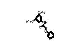 COc1cc(NC(=O)COc2c[c]ccc2)cc(OC)c1